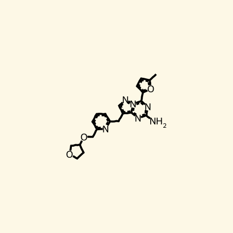 Cc1ccc(-c2nc(N)nc3c(Cc4cccc(COC5CCOC5)n4)cnn23)o1